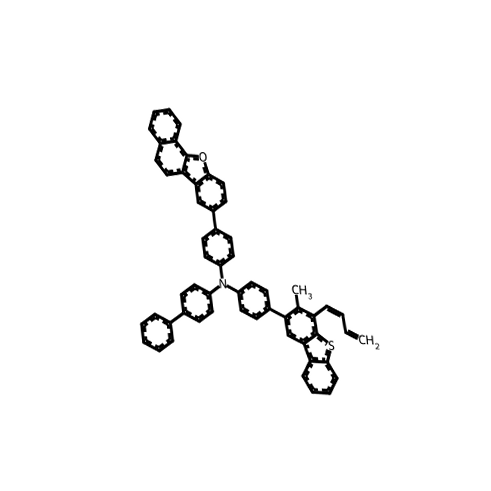 C=C/C=C\c1c(C)c(-c2ccc(N(c3ccc(-c4ccccc4)cc3)c3ccc(-c4ccc5oc6c7ccccc7ccc6c5c4)cc3)cc2)cc2c1sc1ccccc12